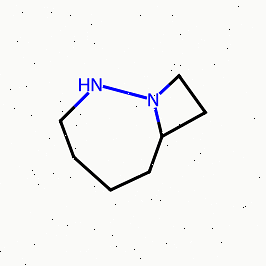 C1CCC2CCN2NC1